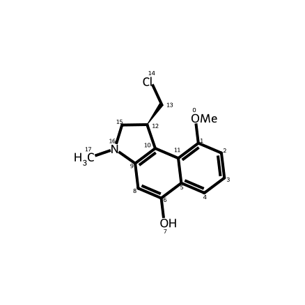 COc1cccc2c(O)cc3c(c12)[C@H](CCl)CN3C